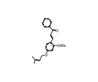 COc1cc(OCC=C(C)C)ccc1C=CC(=O)c1ccccc1